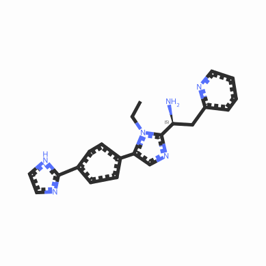 CCn1c(-c2ccc(-c3ncc[nH]3)cc2)cnc1[C@@H](N)Cc1ccccn1